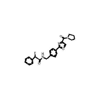 O=C(NCc1ccc(-c2nc(C(=O)N3CCCC3)co2)cc1)C(F)c1ccccc1